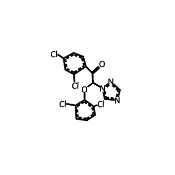 O=C(c1ccc(Cl)cc1Cl)C(Oc1c(Cl)cccc1Cl)n1cncn1